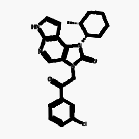 C[C@@H]1CCCC[C@@H]1n1c(=O)n(CC(=O)c2cccc(Cl)c2)c2cnc3[nH]ccc3c21